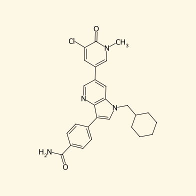 Cn1cc(-c2cnc3c(-c4ccc(C(N)=O)cc4)cn(CC4CCCCC4)c3c2)cc(Cl)c1=O